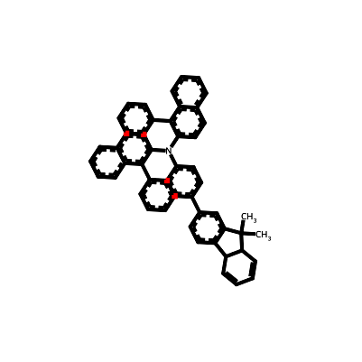 CC1(C)c2cc(-c3ccc(N(c4ccc5ccccc5c4-c4ccccc4)c4ccc5ccccc5c4-c4ccccc4)cc3)ccc2C2C=CC=CC21